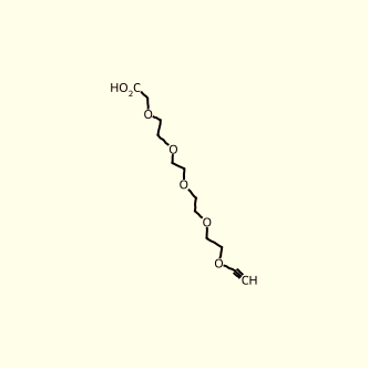 C#COCCOCCOCCOCCOCC(=O)O